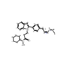 CCN(C(=O)CCn1c(-c2ccc(N/C=C\N=N/C)cc2)nc2ccccc21)C1CCCCC1